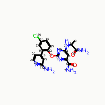 CC(Nc1cc(C(N)=O)nc(Oc2ccc(Cl)cc2-c2ccnc(N)c2)n1)C(N)=O